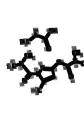 CNC(=O)O.Cc1cc(OC(=O)N(C)C)nn1C(=O)N(C)C